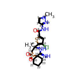 Cn1ccc(NC(=O)c2cc(Cl)c([C@]3(C)CS(=O)(=O)C4(CCCCC4)C(=N)N3)s2)n1